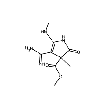 CNC1=C(C(=N)N)C(C)(C(=O)OC)C(=O)N1